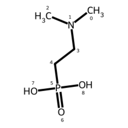 CN(C)CCP(=O)(O)O